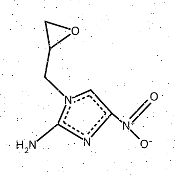 Nc1nc([N+](=O)[O-])cn1CC1CO1